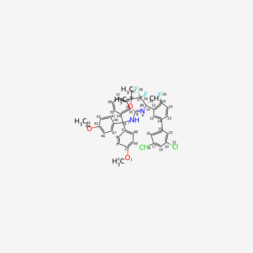 COc1ccc(C(NC2=N[C@](C)(c3cc(-c4cc(Cl)cc(Cl)c4)ccc3F)C(F)(F)C(C)(C)O2)(c2ccccc2)c2ccc(OC)cc2)cc1